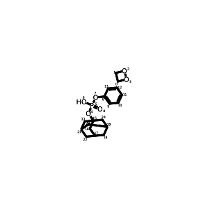 C1COO1.O=P(O)(Oc1ccccc1)OC12CC3CC(CC(C3)C1)C2